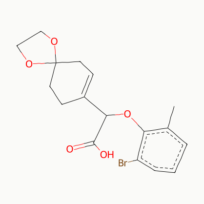 Cc1cccc(Br)c1OC(C(=O)O)C1=CCC2(CC1)OCCO2